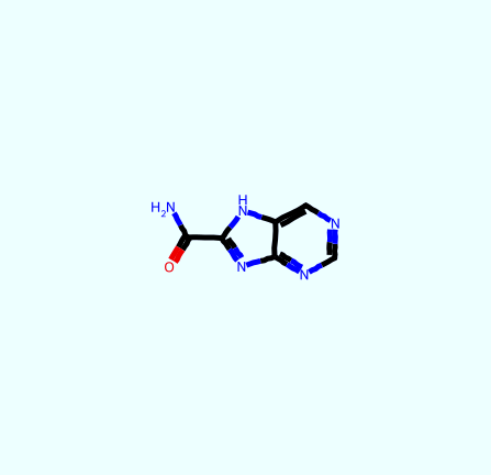 NC(=O)c1nc2ncncc2[nH]1